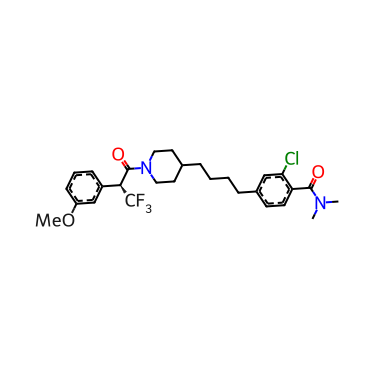 COc1cccc([C@@H](C(=O)N2CCC(CCCCc3ccc(C(=O)N(C)C)c(Cl)c3)CC2)C(F)(F)F)c1